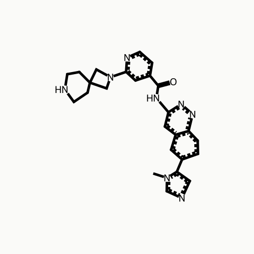 Cn1cncc1-c1ccc2nnc(NC(=O)c3ccnc(N4CC5(CCNCC5)C4)c3)cc2c1